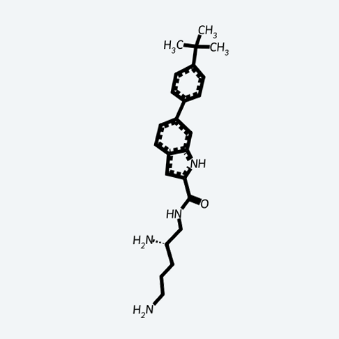 CC(C)(C)c1ccc(-c2ccc3cc(C(=O)NC[C@@H](N)CCCN)[nH]c3c2)cc1